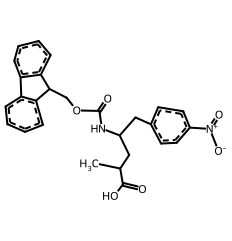 CC(CC(Cc1ccc([N+](=O)[O-])cc1)NC(=O)OCC1c2ccccc2-c2ccccc21)C(=O)O